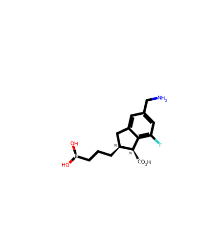 NCc1cc(F)c2c(c1)C[C@H](CCCB(O)O)[C@@H]2C(=O)O